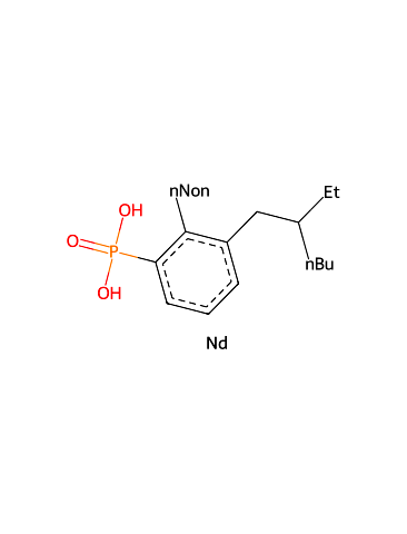 CCCCCCCCCc1c(CC(CC)CCCC)cccc1P(=O)(O)O.[Nd]